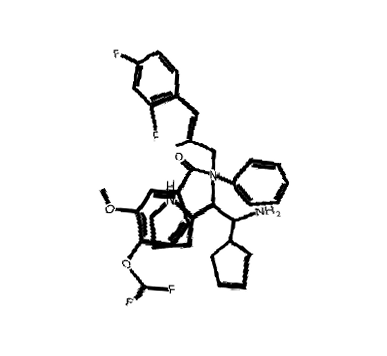 COc1cc(C(=O)[N+](CC(C)=Cc2ccc(F)cc2F)(c2ccccc2)C(C2CCCN2)C(N)C2CCCC2)ccc1OC(F)F